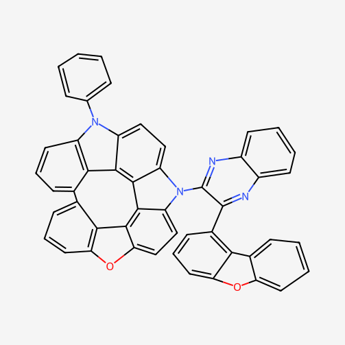 c1ccc(-n2c3cccc4c5cccc6oc7ccc8c(c7c65)c5c(c43)c2ccc5n8-c2nc3ccccc3nc2-c2cccc3oc4ccccc4c23)cc1